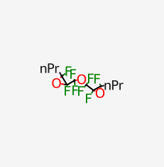 CCCC1(F)OC1(F)C(F)(F)OC(F)(F)C1(F)OC1(F)CCC